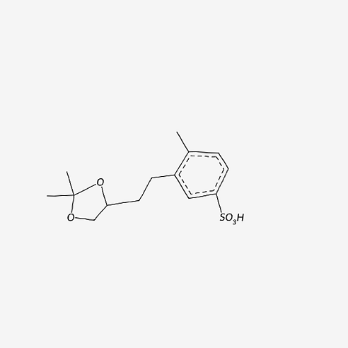 Cc1ccc(S(=O)(=O)O)cc1CCC1COC(C)(C)O1